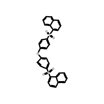 O=S(=O)(c1ccc(Oc2ccc(S(=O)(=O)c3cccc4ccccc34)cc2)cc1)c1cccc2ccccc12